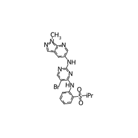 CC(C)S(=O)(=O)c1ccccc1Nc1nc(Nc2cnc3c(cnn3C)c2)ncc1Br